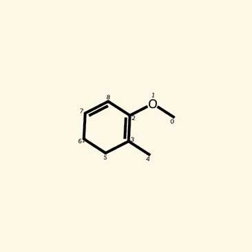 COC1=C(C)C[CH]C=C1